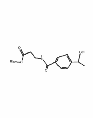 CC(O)c1ccc(C(=O)NCCC(=O)OC(C)(C)C)cc1